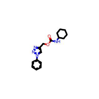 O=C(NC1CCCCC1)OCc1cn(-c2ccccc2)nn1